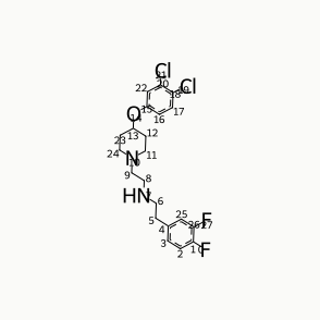 Fc1ccc(CCNCCN2CCC(Oc3ccc(Cl)c(Cl)c3)CC2)cc1F